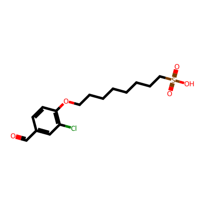 O=Cc1ccc(OCCCCCCCCS(=O)(=O)O)c(Cl)c1